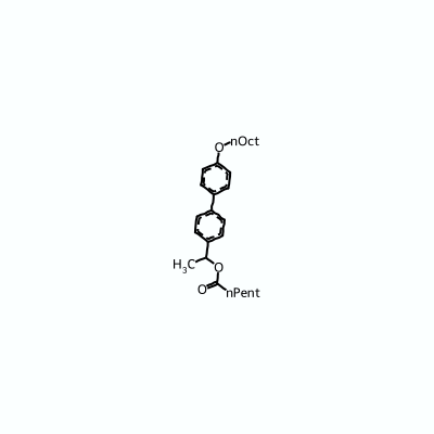 CCCCCCCCOc1ccc(-c2ccc(C(C)OC(=O)CCCCC)cc2)cc1